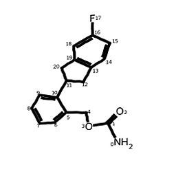 NC(=O)OCc1ccccc1C1Cc2ccc(F)cc2C1